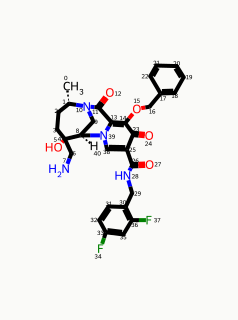 C[C@H]1CCC(O)(CN)[C@H]2CN1C(=O)c1c(OCc3ccccc3)c(=O)c(C(=O)NCc3ccc(F)cc3F)cn12